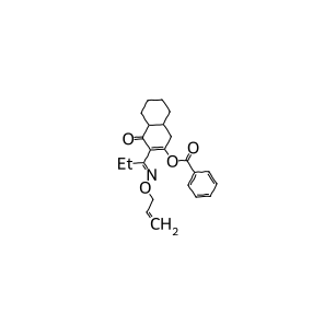 C=CCON=C(CC)C1=C(OC(=O)c2ccccc2)CC2CCCCC2C1=O